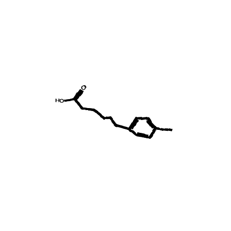 Cc1ccc(CCCCCC(=O)O)cc1